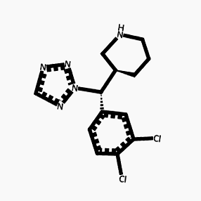 Clc1ccc([C@@H]([C@@H]2CCCNC2)n2ncnn2)cc1Cl